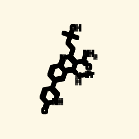 CC(C)Nc1c(C(N)=O)c(CCC(C)(C)O)nc2ccc(-c3ccc(=O)[nH]c3)cc12